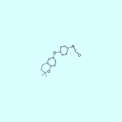 CC1(C)CCc2cc(Oc3ccc(N=C=O)cc3)ccc2O1